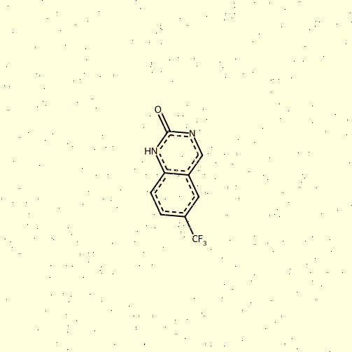 O=c1ncc2cc(C(F)(F)F)ccc2[nH]1